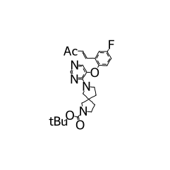 CC(=O)/C=C/c1cc(F)ccc1Oc1cncnc1N1CCC2(CCN(C(=O)OC(C)(C)C)C2)C1